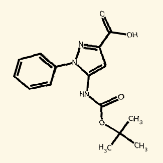 CC(C)(C)OC(=O)Nc1cc(C(=O)O)nn1-c1ccccc1